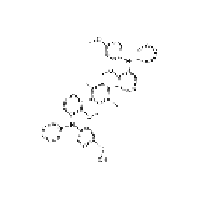 COc1ccc(N(c2ccccc2)c2cccc(-c3cc(C)c(-c4cccc(N(c5ccccc5)c5ccc(CO)cc5)c4OC)cc3C)c2OC)cc1